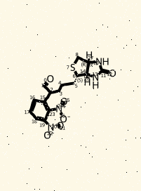 O=[C]C(CCC[C@@H]1SC[C@@H]2NC(=O)N[C@@H]21)c1cccc([N+](=O)[O-])c1[N+](=O)[O-]